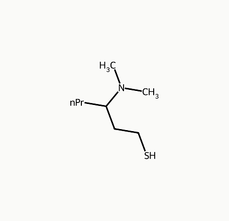 CCCC(CCS)N(C)C